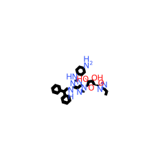 CCc1noc([C@H]2O[C@@H](n3cnc4c(NCC(c5ccccc5)c5ccccc5)nc(NC5CCC(N)CC5)nc43)[C@H](O)[C@@H]2O)n1